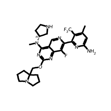 Cc1cc(N)nc(-c2ncc3c(N(C)[C@@H]4CCNC4)nc(OCC45CCCN4CCC5)nc3c2F)c1C(F)(F)F